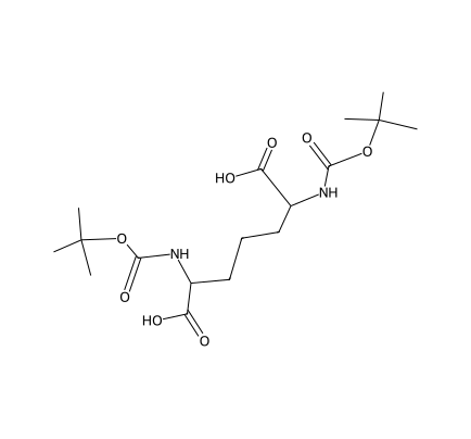 CC(C)(C)OC(=O)NC(CCCC(NC(=O)OC(C)(C)C)C(=O)O)C(=O)O